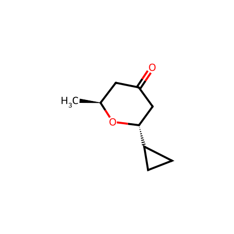 C[C@H]1CC(=O)C[C@H](C2CC2)O1